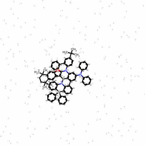 CC(C)(C)c1ccc(N2c3cc(N(c4ccccc4)c4ccccc4)cc4c3B(c3c2oc2cc5c(cc32)C(C)(C)CCC5(C)C)N2c3ccccc3[Si](c3ccccc3)(c3ccccc3)c3cccc-4c32)c(-c2ccccc2)c1